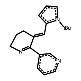 CCC(C)n1cccc1/C=C1\CCCN=C1c1cccnc1